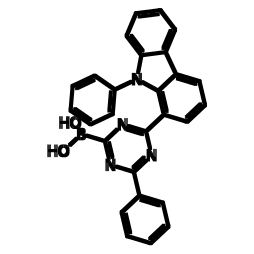 OB(O)c1nc(-c2ccccc2)nc(-c2cccc3c4ccccc4n(-c4ccccc4)c23)n1